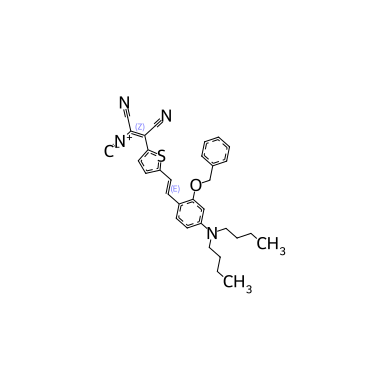 [C-]#[N+]/C(C#N)=C(/C#N)c1ccc(/C=C/c2ccc(N(CCCC)CCCC)cc2OCc2ccccc2)s1